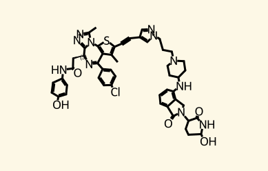 Cc1c(C#Cc2cnn(CCCN3CCC(Nc4cccc5c4CN(C4CCC(O)NC4=O)C5=O)CC3)c2)sc2c1C(c1ccc(Cl)cc1)=N[C@@H](CC(=O)Nc1ccc(O)cc1)c1nnc(C)n1-2